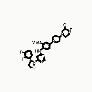 COc1cc(N2CCC(N3CCN(C)C(=O)C3)CC2)ccc1Nc1cc(N2OCC[C@@H]2c2cccc(F)c2F)ncn1